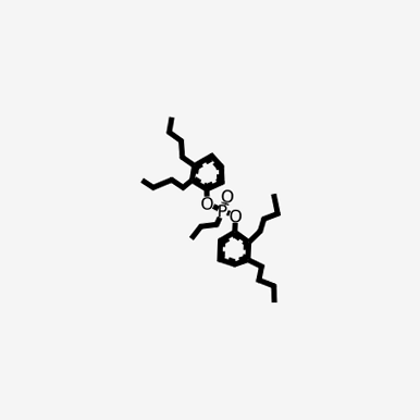 CCCCc1cccc(OP(=O)(CCC)Oc2cccc(CCCC)c2CCCC)c1CCCC